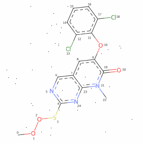 COOSc1ncc2cc(Oc3c(Cl)cccc3Cl)c(=O)n(C)c2n1